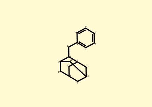 c1ccc(CC2C3CC4CC(C3)CC2C4)cc1